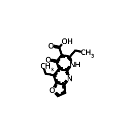 CCc1[nH]c2nc3ccoc3c(CC)c2c(=O)c1C(=O)O